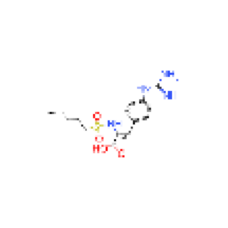 CCCCCS(=O)(=O)N[C@@H](Cc1ccc(NC(=N)N)cc1)C(=O)O